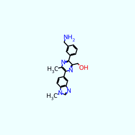 Cc1nc(-c2cccc(CN)c2)c(CO)nc1-c1ccc2c(c1)ncn2C